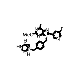 COc1nc(C)c2nc(-c3cncc(F)c3)n(Cc3ccc(CN4C[C@@H]5C[C@H]4CN5)cc3)c2n1